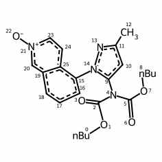 CCCCOC(=O)N(C(=O)OCCCC)c1cc(C)nn1-c1cccc2c[n+]([O-])ccc12